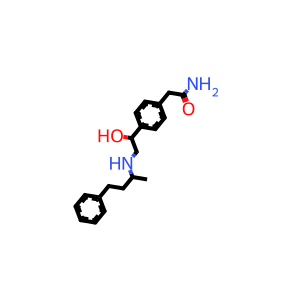 CC(CCc1ccccc1)NCC(O)c1ccc(CC(N)=O)cc1